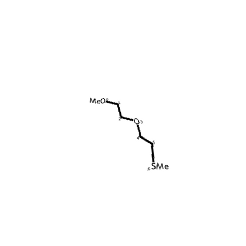 COCCOCCSC